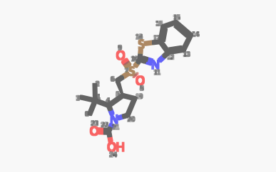 CC(C)(C)C1[C@@H](CS(=O)(=O)c2nc3ccccc3s2)CCN1C(=O)O